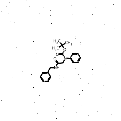 CC(C)(C)OC(=O)N(CC(=O)NCc1ccccc1)c1ccccc1